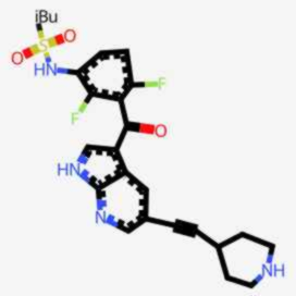 CCC(C)S(=O)(=O)Nc1ccc(F)c(C(=O)c2c[nH]c3ncc(C#CC4CCNCC4)cc23)c1F